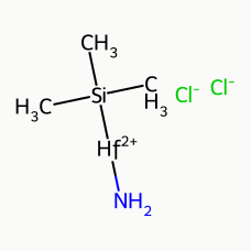 C[Si](C)(C)[Hf+2][NH2].[Cl-].[Cl-]